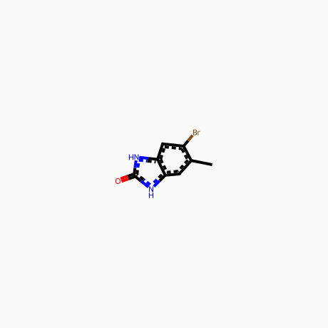 Cc1cc2[nH]c(=O)[nH]c2cc1Br